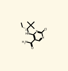 CC[C@@H](Nc1nc(Cl)ncc1C(N)=O)C(C)(C)C